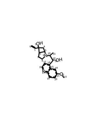 C=CC1(O)CC2C1CCN2C(C)[C@H](O)c1ccnc2ccc(OC)cc12